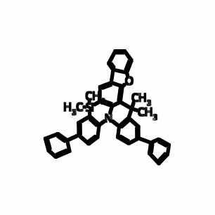 CC1(C)c2cc(-c3ccccc3)ccc2N2c3ccc(-c4ccccc4)cc3[Si](C)(C)c3cc4c(oc5ccccc54)c1c32